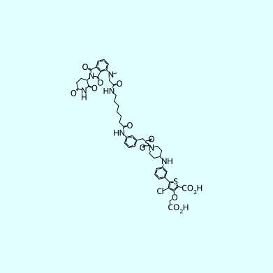 CN(CC(=O)NCCCCCCC(=O)Nc1cccc(CS(=O)(=O)N2CCC(Nc3cccc(-c4sc(C(=O)O)c(OCC(=O)O)c4Cl)c3)CC2)c1)c1cccc2c1C(=O)N(C1CCC(=O)NC1=O)C2=O